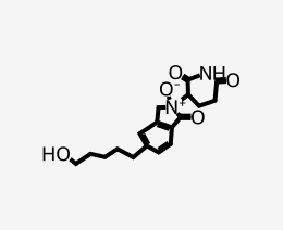 O=C1CCC([N+]2([O-])Cc3cc(CCCCCO)ccc3C2=O)C(=O)N1